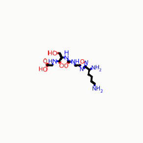 NCCCCC(N)c1noc(CNC(=O)NC(CO)C(=O)NCC(=O)O)n1